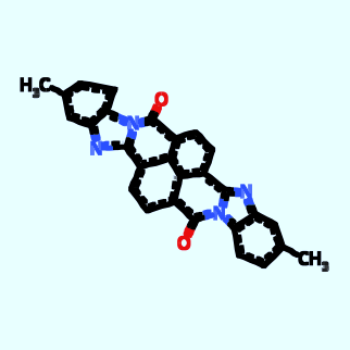 Cc1ccc2c(c1)nc1c3ccc4c(=O)n5c6ccc(C)cc6nc5c5ccc(c(=O)n21)c3c45